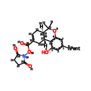 CCCCCc1cc(O)c2c(c1)OC(C)(C)[C@@H]1CC=C(C(=O)ON3C(=O)CCC3=O)C[C@@H]21